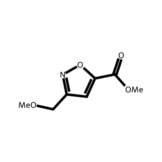 COCc1cc(C(=O)OC)on1